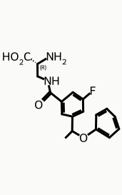 CC(Oc1ccccc1)c1cc(F)cc(C(=O)NC[C@@H](N)C(=O)O)c1